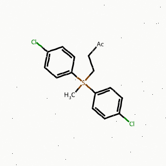 CC(=O)CCS(C)(c1ccc(Cl)cc1)c1ccc(Cl)cc1